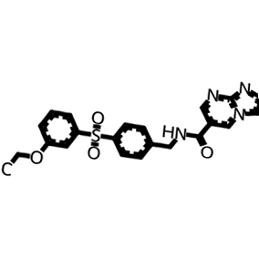 CCOc1cccc(S(=O)(=O)c2ccc(CNC(=O)c3cnc4nccn4c3)cc2)c1